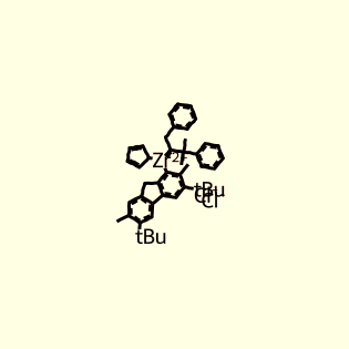 Cc1cc2c(cc1C(C)(C)C)-c1cc(C(C)(C)C)c(C)[c]([Zr+2](=[C](Cc3ccccc3)C(C)(C)c3ccccc3)[CH]3C=CC=C3)c1C2.[Cl-].[Cl-]